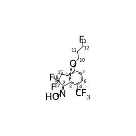 O/N=C1/c2c(C(F)(F)F)ccc(OCCCF)c2CC1(F)F